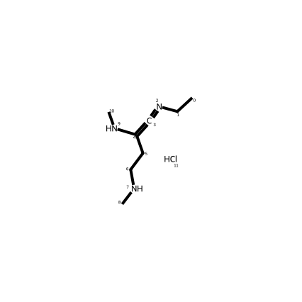 CCN=C=C(CCNC)NC.Cl